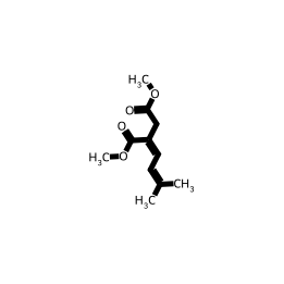 COC(=O)CC(=CC=C(C)C)C(=O)OC